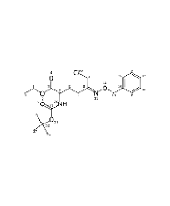 CCOC(=O)C(CCC(CCl)=NOCc1ccccc1)NC(=O)OC(C)(C)C